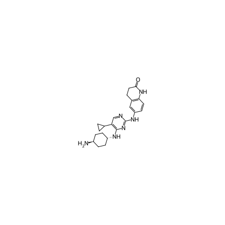 N[C@H]1CC[C@H](Nc2nc(Nc3ccc4c(c3)CCC(=O)N4)ncc2C2CC2)CC1